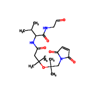 CC(C)C(NC(=O)CC(C)(C)OC(C)(C)CN1C(=O)C=CC1=O)C(=O)NCC=O